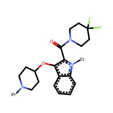 CCn1c(C(=O)N2CCC(F)(F)CC2)c(OC2CCN(C(C)C)CC2)c2ccccc21